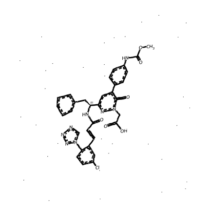 COC(=O)Nc1ccc(-c2cc([C@H](Cc3ccccc3)NC(=O)C=Cc3cc(Cl)ccc3-n3cnnn3)nn(CC(=O)O)c2=O)cc1